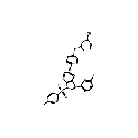 Cc1ccc(S(=O)(=O)n2cc(-c3cccc(F)c3)c3cc(-c4ccc(CN5CCCC(O)C5)cc4)cnc32)cc1